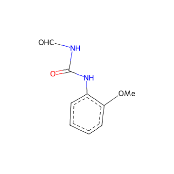 COc1ccccc1NC(=O)NC=O